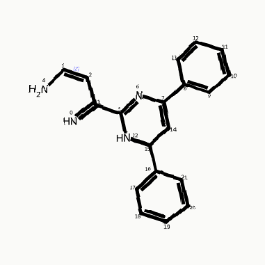 N=C(/C=C\N)C1=NC(c2ccccc2)=CC(c2ccccc2)N1